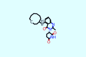 Cc1nc2cccc(BC3CCCCCCCCC3)c2c(=O)n1[C@H]1CCC(=O)NC1=O